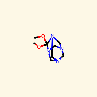 COC1(OC)N2CN3CN(C2)CN1C3